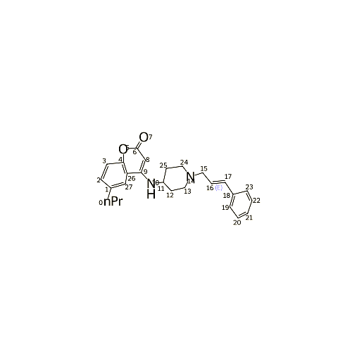 CCCc1ccc2oc(=O)cc(NC3CCN(C/C=C/c4ccccc4)CC3)c2c1